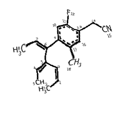 C\C=C/C(=C\C)C(=C\C)/c1cc(F)c(CC#N)cc1C